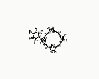 Fc1c(F)c(F)c(C2=CC3=CC4=NC(=CC5=NC(=CC6=NC(=CC2=N3)C=C6)C=C5)C=C4)c(F)c1F